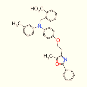 Cc1cccc(N(Cc2ccccc2C(=O)O)c2ccc(OCCc3nc(-c4ccccc4)oc3C)cc2)c1